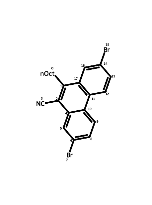 CCCCCCCCc1c(C#N)c2cc(Br)ccc2c2ccc(Br)cc12